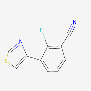 N#Cc1cccc(-c2cscn2)c1F